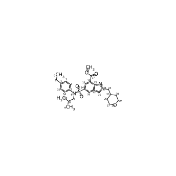 CCc1ccc(N(CC(C)C)S(=O)(=O)c2cc(C(=O)OC)c3nn(CC4CCOCC4)cc3c2)cc1